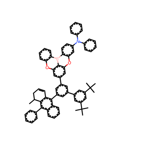 CC1CC=Cc2c1c(-c1ccccc1)c1ccccc1c2-c1cc(-c2cc(C(C)(C)C)cc(C(C)(C)C)c2)cc(-c2cc3c4c(c2)Oc2cc(N(c5ccccc5)c5ccccc5)ccc2B4c2ccccc2O3)c1